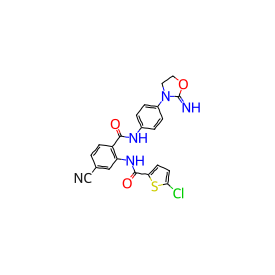 N#Cc1ccc(C(=O)Nc2ccc(N3CCOC3=N)cc2)c(NC(=O)c2ccc(Cl)s2)c1